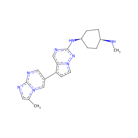 CN[C@H]1CC[C@@H](Nc2ncc3c(-c4cnc5ncc(C)n5c4)ccn3n2)CC1